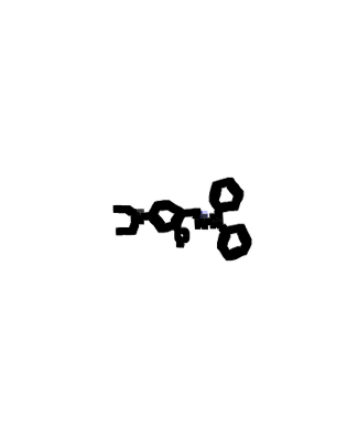 CCN(CC)c1ccc(/C=N/N(c2ccccc2)c2ccccc2)c(OC)c1